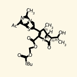 CC(=O)c1nc(C)n2cc(C3=C(C(=O)OCOC(=O)C(C)(C)C)N4C(=O)[C@H]([C@@H](C)O)[C@H]4[C@H]3C)sc12